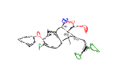 CC1(C)[C@H](C=C(Cl)Cl)[C@@]1(C(=O)O)[C@H](C#N)c1ccc(F)c(Oc2ccccc2)c1